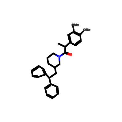 COc1ccc(C(C)C(=O)N2CCCC(CC(c3ccccc3)c3ccccc3)C2)cc1OC